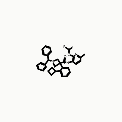 Cc1ccc(NC(=O)C2(c3ccccc3C3CCC3)CN(C(c3ccccc3)c3ccccc3)C2)c(OC(F)F)n1